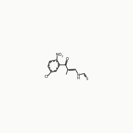 C/C(=C\NC=S)C(=O)c1cc(Cl)ccc1[N+](=O)[O-]